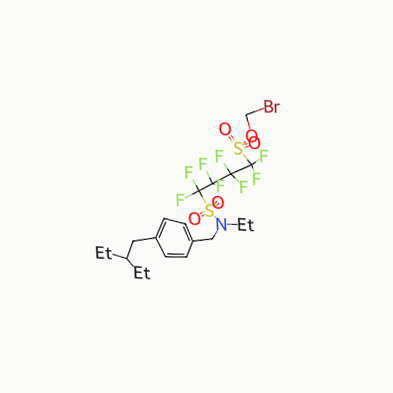 CCC(CC)Cc1ccc(CN(CC)S(=O)(=O)C(F)(F)C(F)(F)C(F)(F)C(F)(F)S(=O)(=O)OCBr)cc1